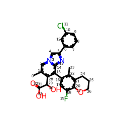 Cc1cn2cc(-c3cccc(Cl)c3)nc2c(-c2cc(F)c3c(c2C)CCCO3)c1C(O)C(=O)O